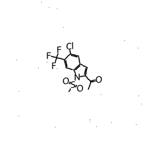 CC(=O)c1cc2cc(Cl)c(C(F)(F)F)cc2n1S(C)(=O)=O